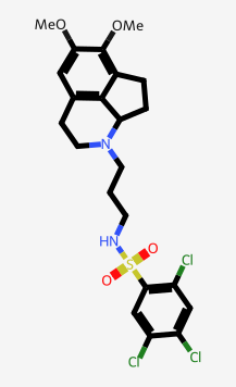 COc1cc2c3c(c1OC)CCC3N(CCCNS(=O)(=O)c1cc(Cl)c(Cl)cc1Cl)CC2